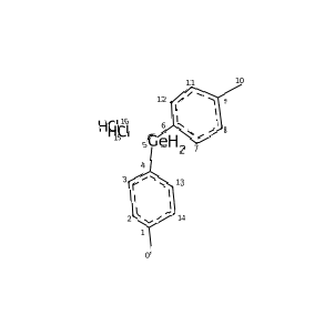 Cc1cc[c]([GeH2][c]2ccc(C)cc2)cc1.Cl.Cl